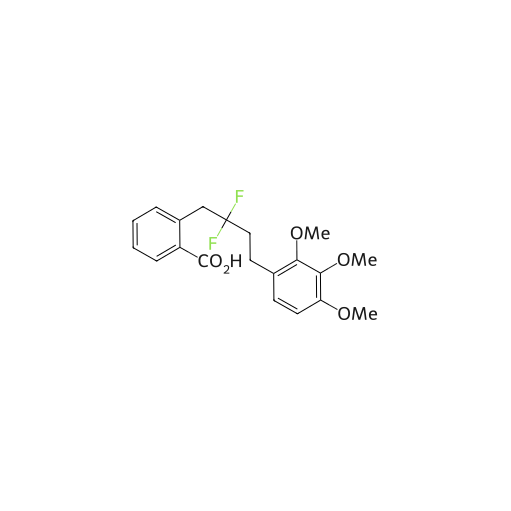 COc1ccc(CCC(F)(F)Cc2ccccc2C(=O)O)c(OC)c1OC